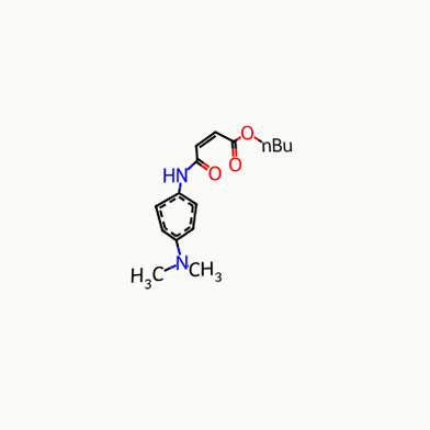 CCCCOC(=O)/C=C\C(=O)Nc1ccc(N(C)C)cc1